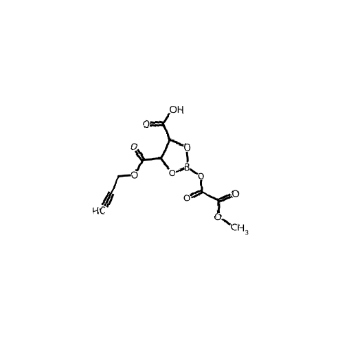 C#CCOC(=O)C1OB(OC(=O)C(=O)OC)OC1C(=O)O